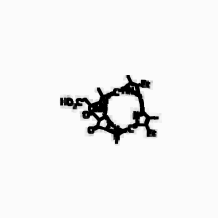 CCC1=C(C)c2cc3[nH]c(cc4nc(c5c6[nH]c(cc1n2)c(C)c6C(=O)C5C(=O)OC)C(CCC(=O)O)C4C)c(C)c3CC